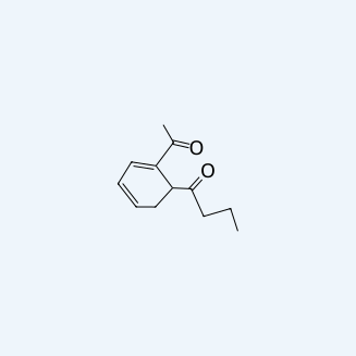 CCCC(=O)C1CC=CC=C1C(C)=O